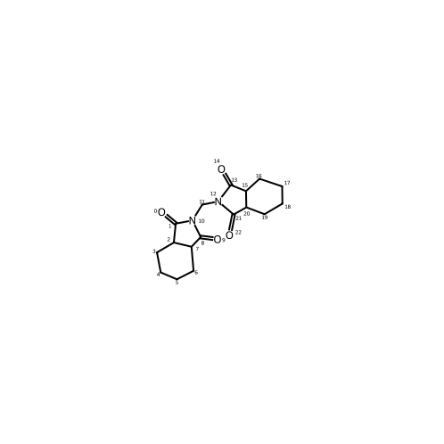 O=C1C2CCCCC2C(=O)N1CN1C(=O)C2CCCCC2C1=O